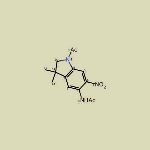 CC(=O)Nc1cc2c(cc1[N+](=O)[O-])N(C(C)=O)CC2(C)C